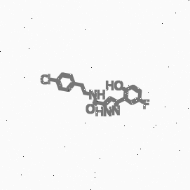 O=C(NCCc1ccc(Cl)cc1)c1cc(-c2cc(F)ccc2O)n[nH]1